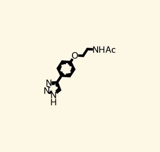 CC(=O)NCCOc1ccc(-c2c[nH]nn2)cc1